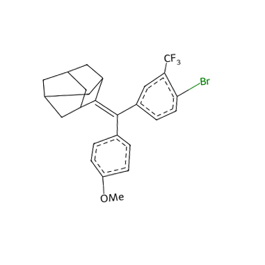 COc1ccc(C(=C2C3CC4CC(C3)CC2C4)c2ccc(Br)c(C(F)(F)F)c2)cc1